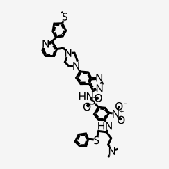 CSc1ccc(-c2ncccc2CN2CCN(c3ccc4c(NS(=O)(=O)c5ccc(NC(CCN(C)C)CSc6ccccc6)c([N+](=O)[O-])c5)ncnc4c3)CC2)cc1